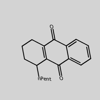 CCCCCC1CCCC2=C1C(=O)c1ccccc1C2=O